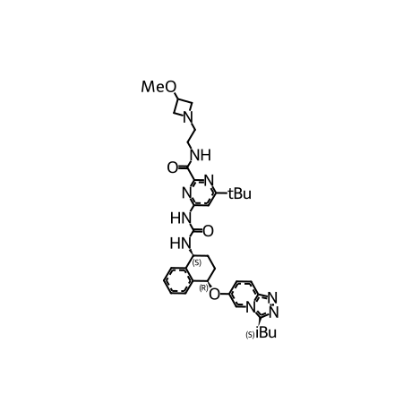 CC[C@H](C)c1nnc2ccc(O[C@@H]3CC[C@H](NC(=O)Nc4cc(C(C)(C)C)nc(C(=O)NCCN5CC(OC)C5)n4)c4ccccc43)cn12